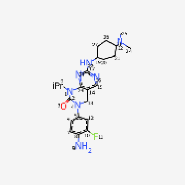 CC(C)N1C(=O)N(c2ccc(N)c(F)c2)Cc2cnc(NC3CCC(N(C)C)CC3)nc21